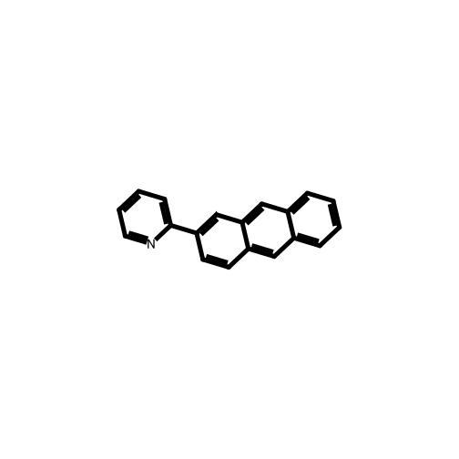 [c]1c(-c2ccccn2)ccc2cc3ccccc3cc12